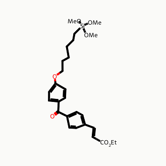 CCOC(=O)/C=C/c1ccc(C(=O)c2ccc(OCCCCCC[Si](OC)(OC)OC)cc2)cc1